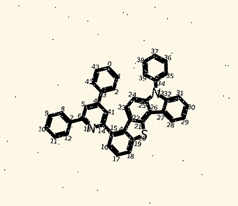 c1ccc(-c2cc(-c3ccccc3)nc(-c3cccc4sc5c(ccc6c5c5ccccc5n6-c5ccccc5)c34)c2)cc1